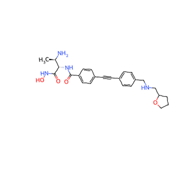 C[C@@H](N)[C@H](NC(=O)c1ccc(C#Cc2ccc(CNCC3CCCO3)cc2)cc1)C(=O)NO